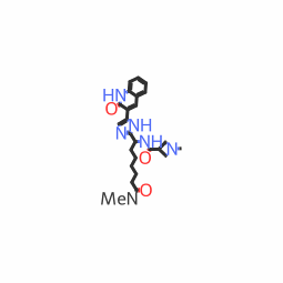 CNC(=O)CCCCCC(NC(=O)C1CN(C)C1)c1ncc(-c2cc3ccccc3[nH]c2=O)[nH]1